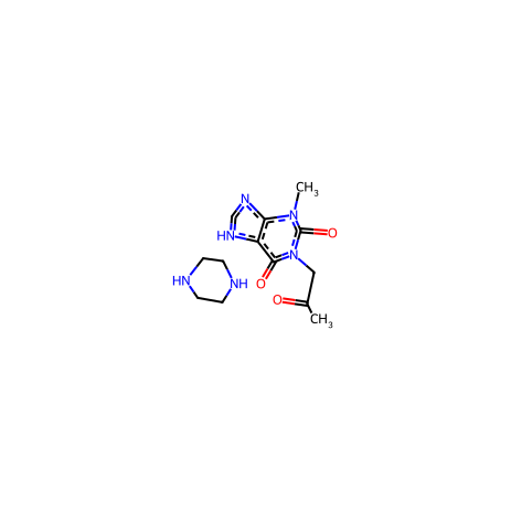 C1CNCCN1.CC(=O)Cn1c(=O)c2[nH]cnc2n(C)c1=O